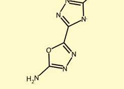 CC1=NN=C(c2nnc(N)o2)[N]1